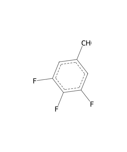 [CH]c1cc(F)c(F)c(F)c1